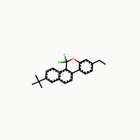 CCc1ccc2c(c1)OC(F)(F)c1c-2ccc2cc(C(C)(C)C)ccc12